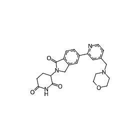 O=C1CCC(N2Cc3cc(-c4cc(CN5CCOCC5)ccn4)ccc3C2=O)C(=O)N1